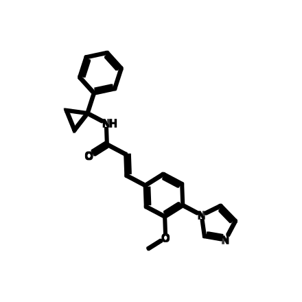 COc1cc(/C=C/C(=O)NC2(c3ccccc3)CC2)ccc1-n1ccnc1